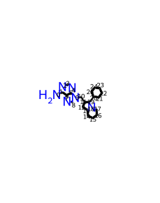 Nc1ncnc2c1ncn2Cc1cc2ccccn2c1-c1ccccc1